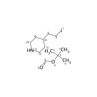 CC(C)(C)OC=O.ICCC1CCNCC1